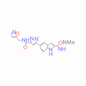 CNOC(=N)c1cc2cc(-c3cc(C(=O)NCc4ccno4)nn3C)ccc2[nH]1